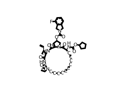 C=C[C@@H]1C[C@@]12NC(=O)[C@@H]1C[C@@H](OC(=O)N3Cc4cccc(F)c4C3)CN1C(=O)[C@@H](NC(=O)OC1CCCC1)CCCCCCCCCCN(CC)S(=O)(=O)NC2=O